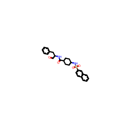 O=CC(Cc1ccccc1)NC(=O)C1CCC(NS(=O)(=O)c2ccc3ccccc3c2)CC1